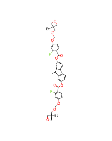 CCC1(COCOc2ccc(C(=O)Oc3ccc4c(c3)C(C)c3cc(OC(=O)c5ccc(OCOCC6(CC)COC6)cc5F)ccc3-4)c(F)c2)COC1